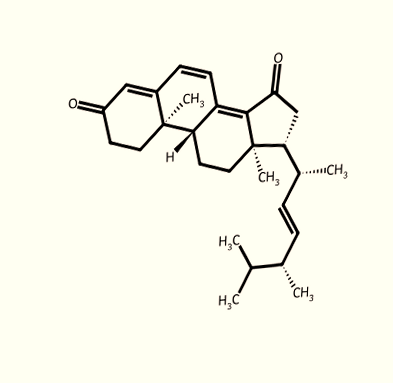 CC(C)[C@@H](C)/C=C/[C@@H](C)[C@H]1CC(=O)C2=C3C=CC4=CC(=O)CC[C@]4(C)[C@H]3CC[C@@]21C